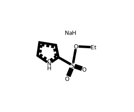 CCOS(=O)(=O)c1ccc[nH]1.[NaH]